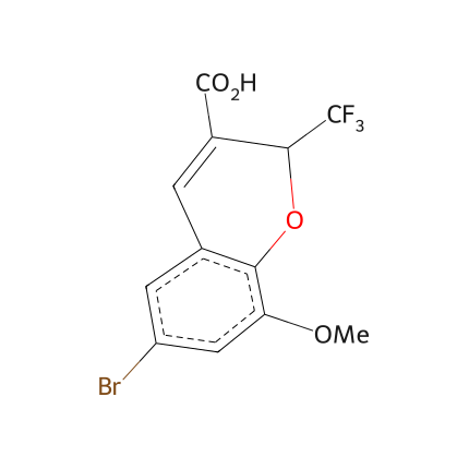 COc1cc(Br)cc2c1OC(C(F)(F)F)C(C(=O)O)=C2